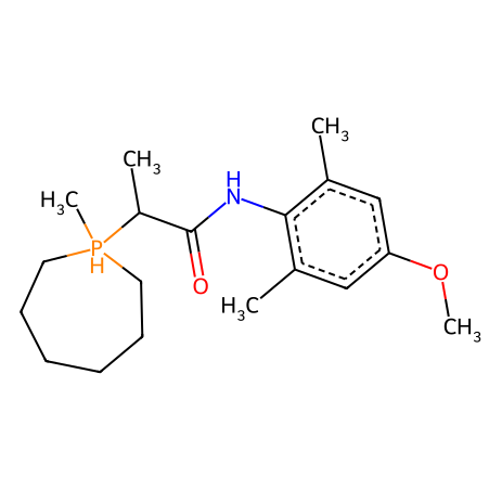 COc1cc(C)c(NC(=O)C(C)[PH]2(C)CCCCCC2)c(C)c1